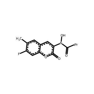 Cc1cc2cc(N(O)C(=O)C(C)C)c(=O)oc2cc1F